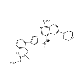 COc1nnc(N[C@H](C)c2cc(-c3ccccc3CN(C)C(=O)OC(C)(C)C)cs2)c2cc(N3CCOCC3)ccc12